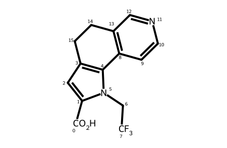 O=C(O)c1cc2c(n1CC(F)(F)F)-c1ccncc1CC2